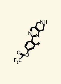 O=C(Oc1ccc(-c2ncc3c(n2)CCNC3)c(F)c1)C(F)(F)F